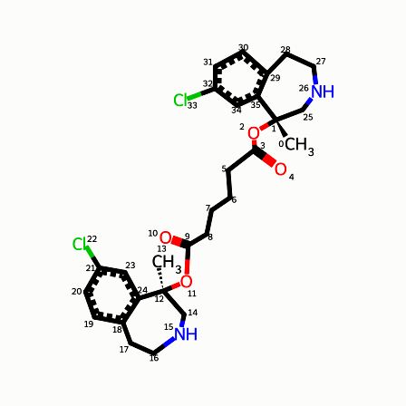 C[C@]1(OC(=O)CCCCC(=O)O[C@@]2(C)CNCCc3ccc(Cl)cc32)CNCCc2ccc(Cl)cc21